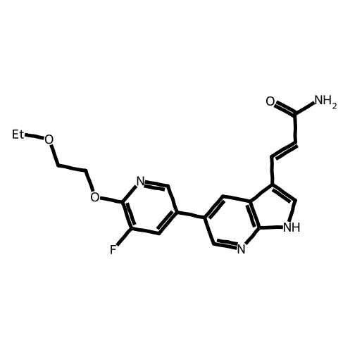 CCOCCOc1ncc(-c2cnc3[nH]cc(/C=C/C(N)=O)c3c2)cc1F